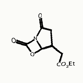 CCOC(=O)CC1CC(=O)N2C(=O)OC12